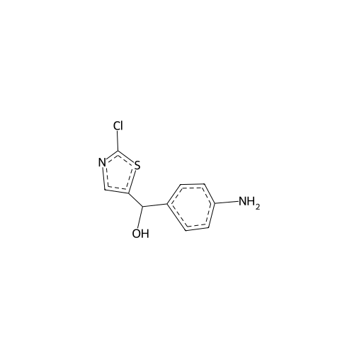 Nc1ccc(C(O)c2cnc(Cl)s2)cc1